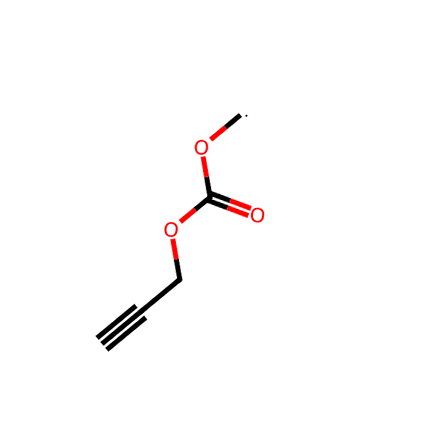 C#CCOC(=O)O[CH2]